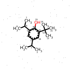 CC(C)c1cc(C(C)C)c(O)c(C(C)(C)C)c1